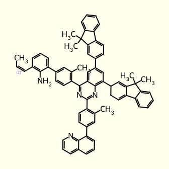 C/C=C\c1cccc(-c2ccc(-c3nc(-c4ccc(-c5cccc6cccnc56)cc4C)nc4c(C5C=C6C(=CC5)c5ccccc5C6(C)C)cc(-c5ccc6c(c5)C(C)(C)c5ccccc5-6)cc34)c(C)c2)c1N